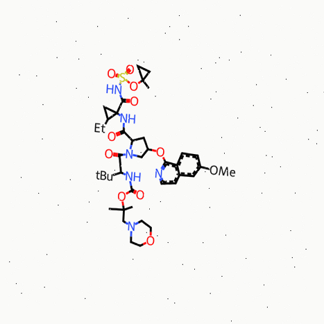 CCC1CC1(NC(=O)C1CC(Oc2nccc3cc(OC)ccc23)CN1C(=O)C(NC(=O)OC(C)(C)CN1CCOCC1)C(C)(C)C)C(=O)NS(=O)(=O)OC1(C)CC1